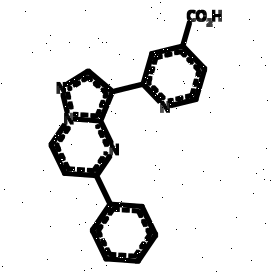 O=C(O)c1ccnc(-c2cnn3ccc(-c4ccccc4)nc23)c1